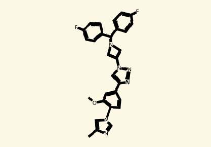 COc1cc(-c2cn(C3CN(C(c4ccc(F)cc4)c4ccc(F)cc4)C3)nn2)ccc1-n1cnc(C)c1